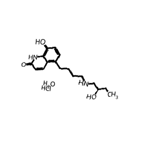 CCC(O)CNCCCCc1ccc(O)c2[nH]c(=O)ccc12.Cl.O